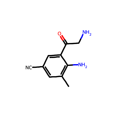 Cc1cc(C#N)cc(C(=O)CN)c1N